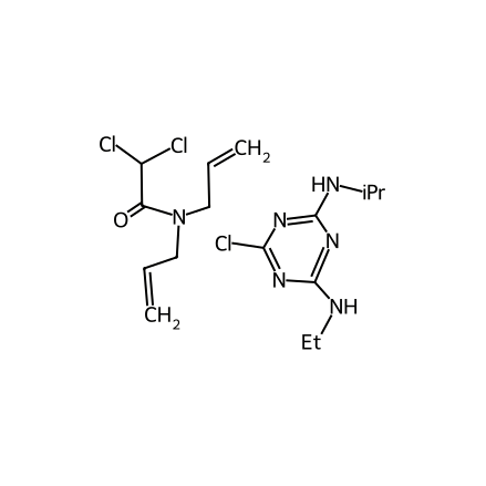 C=CCN(CC=C)C(=O)C(Cl)Cl.CCNc1nc(Cl)nc(NC(C)C)n1